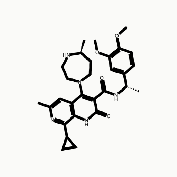 COc1ccc([C@H](C)NC(=O)c2c(N3CCN[C@@H](C)CC3)c3cc(C)nc(C4CC4)c3[nH]c2=O)cc1OC